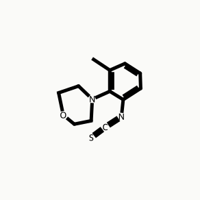 Cc1cccc(N=C=S)c1N1CCOCC1